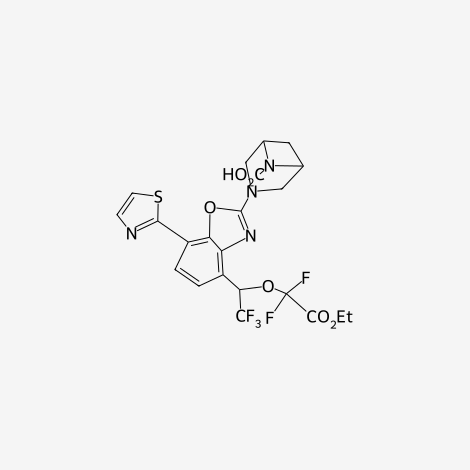 CCOC(=O)C(F)(F)OC(c1ccc(-c2nccs2)c2oc(N3CC4CC(C3)N4C(=O)O)nc12)C(F)(F)F